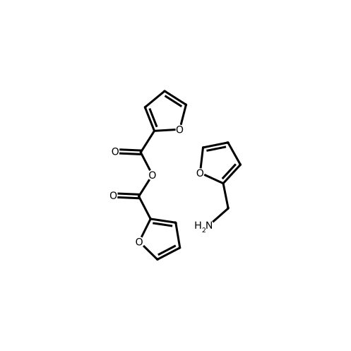 NCc1ccco1.O=C(OC(=O)c1ccco1)c1ccco1